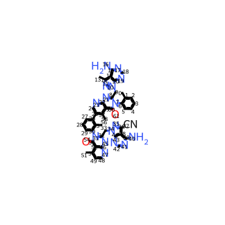 Cc1ccccc1-n1c(Cn2nc(C)c3c(N)ncnc32)nc2ncc(-c3cccc(-n4c(Cn5nc(C#N)c6c(N)ncnc65)nc5nccc(C)c5c4=O)c3C)c(C)c2c1=O